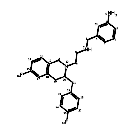 Nc1cccc(CNCCN2Cc3ccc(F)cc3CC2Cc2ccc(F)cc2)c1